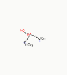 CCCCCCCC/C=C\CCCCCCCC1(CCCCCCC/C=C\CCCCCCCC)OCC(CCCO)O1